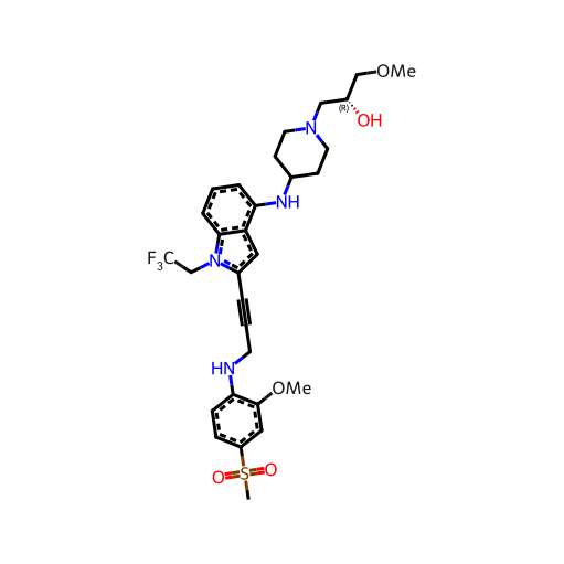 COC[C@H](O)CN1CCC(Nc2cccc3c2cc(C#CCNc2ccc(S(C)(=O)=O)cc2OC)n3CC(F)(F)F)CC1